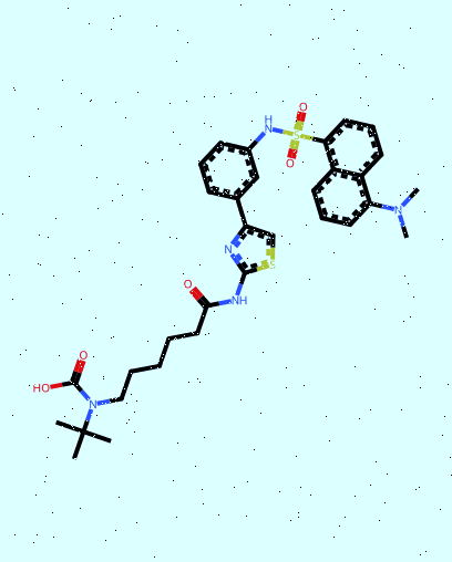 CN(C)c1cccc2c(S(=O)(=O)Nc3cccc(-c4csc(NC(=O)CCCCCN(C(=O)O)C(C)(C)C)n4)c3)cccc12